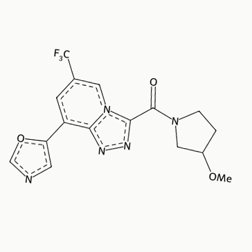 COC1CCN(C(=O)c2nnc3c(-c4cnco4)cc(C(F)(F)F)cn23)C1